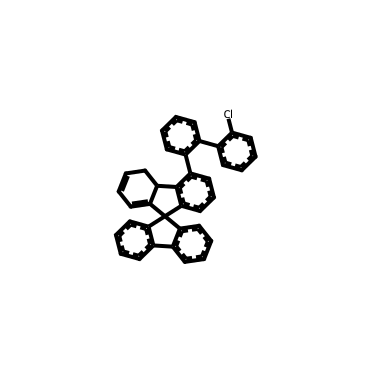 Clc1ccccc1-c1ccccc1-c1cccc2c1C1CC=CC=C1C21c2ccccc2-c2ccccc21